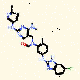 Cc1ccc(Nc2ncc(CN(C=O)c3cc(Nc4nc5ccc(Cl)cc5[nH]4)ccc3C)c(N(C)C)n2)cn1